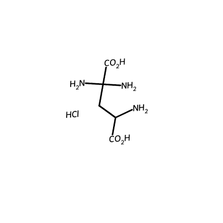 Cl.NC(CC(N)(N)C(=O)O)C(=O)O